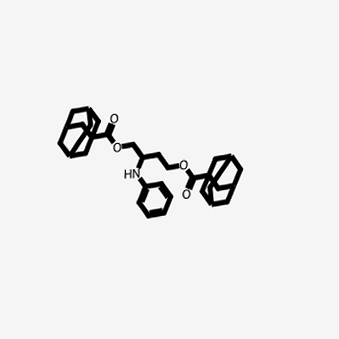 O=C(OCCC(COC(=O)C12CC3CC(CC(C3)C1)C2)Nc1ccccc1)C12CC3CC(CC(C3)C1)C2